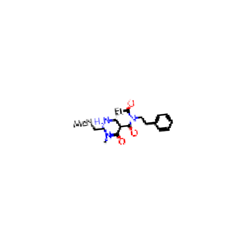 CCC(=O)N(CCc1ccccc1)C(=O)[C@@H](C(=O)N(C)CCNC)[C@@H](C)N